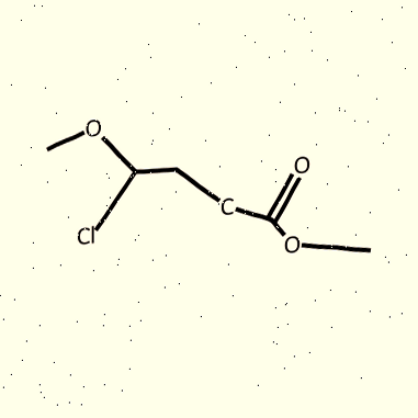 COC(=O)CCC(Cl)OC